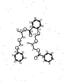 CC(COC(=O)c1ccccc1)OCOc1ccccc1C(=O)OC(C)COCOc1ccccc1